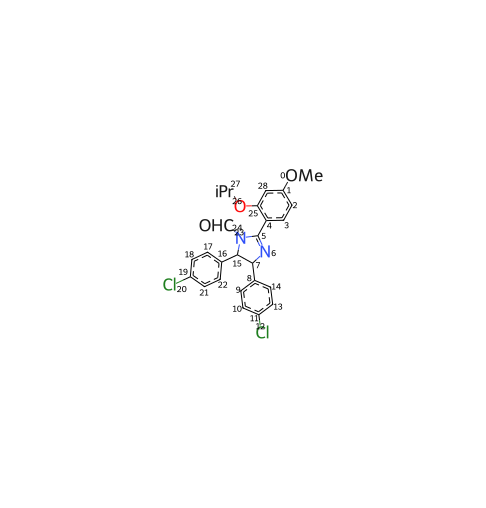 COc1ccc(C2=NC(c3ccc(Cl)cc3)C(c3ccc(Cl)cc3)N2C=O)c(OC(C)C)c1